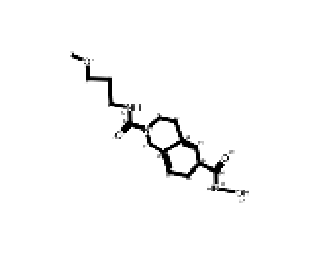 COCCCNC(=O)N1CCC2=CC(C(=O)NO)CC=C2C1